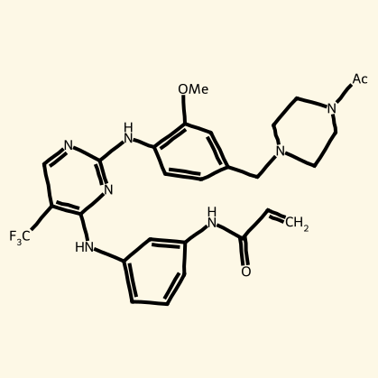 C=CC(=O)Nc1cccc(Nc2nc(Nc3ccc(CN4CCN(C(C)=O)CC4)cc3OC)ncc2C(F)(F)F)c1